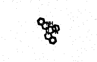 c1ccc2c(c1)CCC(C1[C](C3NCCc4ccccc43)N3CCC1CC3)N2